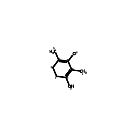 CC1=C(Cl)C(C)=C(O)CC1